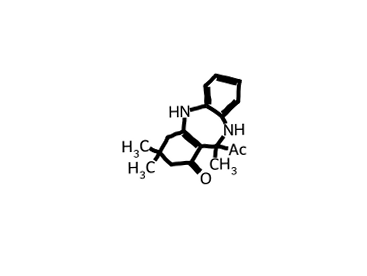 CC(=O)C1(C)Nc2ccccc2NC2=C1C(=O)CC(C)(C)C2